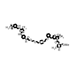 COC[C@H]1CN[C@H](C)CN1CC(=O)N1CC(C)(C)c2ncc(Cc3ccccc3OCCN3CCN(CCOCCOCC(=O)Nc4ccc(Nc5ncc(C(F)(F)F)c(NCc6cccc(S(C)(=O)=O)c6)n5)cc4)CC3)cc21